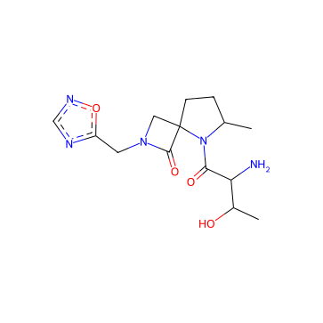 CC(O)C(N)C(=O)N1C(C)CCC12CN(Cc1ncno1)C2=O